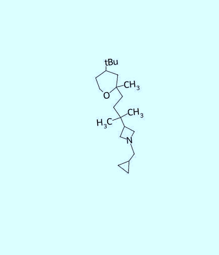 CC1(CCC(C)(C)C2CN(CC3CC3)C2)CC(C(C)(C)C)CCO1